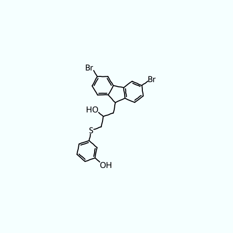 Oc1cccc(SCC(O)CC2c3ccc(Br)cc3-c3cc(Br)ccc32)c1